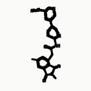 COc1cncc(-c2ccc(NC(=O)Cc3cc(C)cc4c3C(=O)N(C)C4=O)nc2)c1